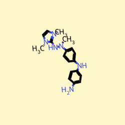 CN(Nc1n(C)cc[n+]1C)c1ccc(Nc2ccc(N)cc2)cc1